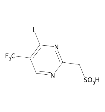 O=S(=O)(O)Cc1ncc(C(F)(F)F)c(I)n1